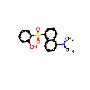 CN(C)c1cccc2c(S(=O)(=O)c3ccccc3O)cccc12